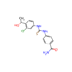 CC(O)c1ccc(NC(=S)Nc2ccc(C(N)=O)cc2)cc1Cl